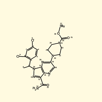 CC(c1ccc(Cl)cc1Cl)n1nc(C(N)=O)c2ncc(N3CCN(C(=O)OC(C)(C)C)CC3)nc21